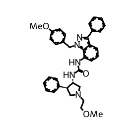 COCCN1C[C@@H](NC(=O)Nc2cccc3c(-c4ccccc4)nn(Cc4ccc(OC)cc4)c23)[C@H](c2ccccc2)C1